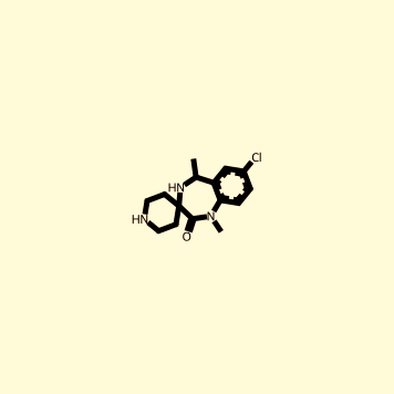 CC1NC2(CCNCC2)C(=O)N(C)c2ccc(Cl)cc21